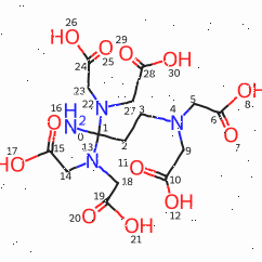 NC(CCN(CC(=O)O)CC(=O)O)(N(CC(=O)O)CC(=O)O)N(CC(=O)O)CC(=O)O